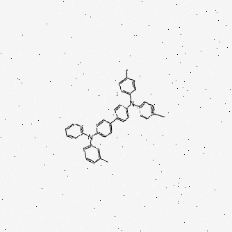 Cc1ccc(N(c2ccc(C)cc2)c2ccc(-c3ccc(N(c4ccccc4)c4cccc(C)c4)cc3)cc2)cc1